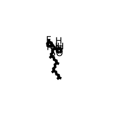 CC(C)=CCCC(C)=CCCC(C)=CCCC(C)=CSCC(Nc1cc(F)ccn1)C1=COC=CN1